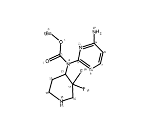 CC(C)(C)OC(=O)N(c1nccc(N)n1)C1CCNCC1(F)F